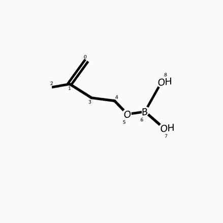 C=C(C)CCOB(O)O